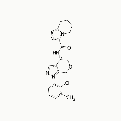 Cc1cccc(-n2ncc3c2COC[C@H]3NC(=O)c2ncc3n2CCCC3)c1Cl